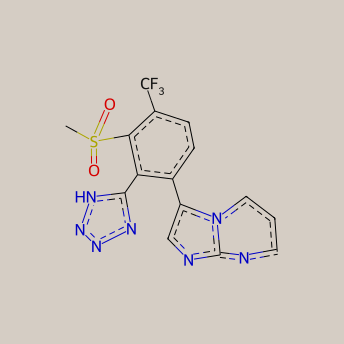 CS(=O)(=O)c1c(C(F)(F)F)ccc(-c2cnc3ncccn23)c1-c1nnn[nH]1